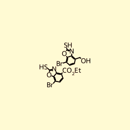 CCOC(=O)c1ccc(Br)c2oc(S)nc12.OCc1ccc(Br)c2oc(S)nc12